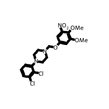 COc1cc(OCN2CCN(c3cccc(Cl)c3Cl)CC2)cc([N+](=O)[O-])c1OC